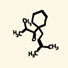 CC(C)=CCC1(C(=O)C(C)C)CCCCC1